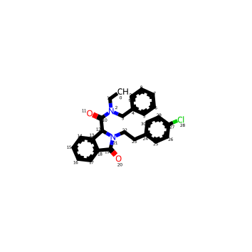 CCN(Cc1ccccc1)C(=O)C1c2ccccc2C(=O)N1CCc1ccc(Cl)cc1